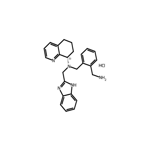 Cl.NCc1ccccc1CN(Cc1nc2ccccc2[nH]1)[C@H]1CCCc2cccnc21